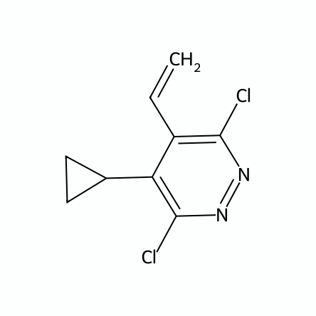 C=Cc1c(Cl)nnc(Cl)c1C1CC1